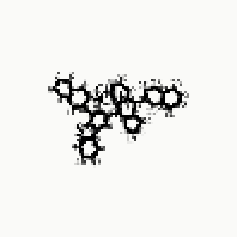 CC1(C)c2cc3ccccc3cc2-c2c1c(-c1c3ccccc3c(-c3ccc4ccccc4c3)c3ccccc13)cc1c2sc2ccccc21